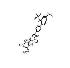 COC(=O)N[C@H](C(=O)N1CCCC1c1ncc(-c2ccc(-c3ccc(N)cc3OC(F)(F)F)nc2)[nH]1)C(C)C